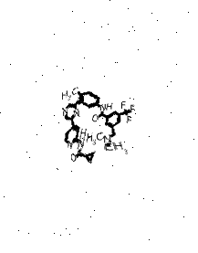 Cc1ccc(NC(=O)c2cc(CN(C)C)cc(C(F)(F)F)c2)cc1-c1cncc(-c2ccnc(NC(=O)C3CC3)c2)n1